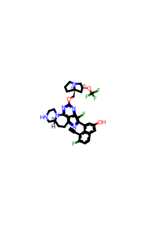 C#Cc1c(F)ccc2cc(O)cc(-c3nc4c5c(nc(OC[C@@]67CCCN6C[C@@H](OC(F)(F)F)C7)nc5c3F)N3CCNC[C@H]3CC4)c12